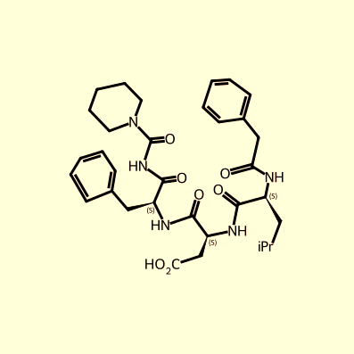 CC(C)C[C@H](NC(=O)Cc1ccccc1)C(=O)N[C@@H](CC(=O)O)C(=O)N[C@@H](Cc1ccccc1)C(=O)NC(=O)N1CCCCC1